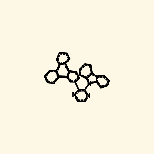 c1ccc2c(c1)c1ccccc1c1cc(-c3nccnc3-n3c4ccccc4c4ccccc43)ccc21